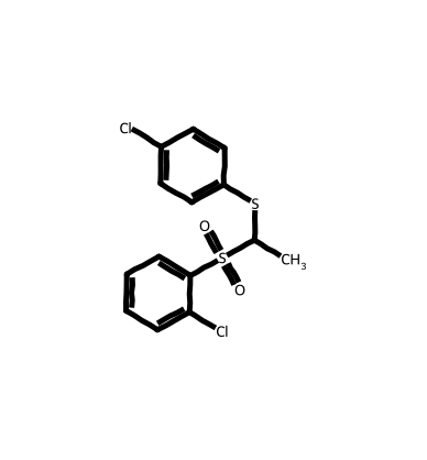 CC(Sc1ccc(Cl)cc1)S(=O)(=O)c1ccccc1Cl